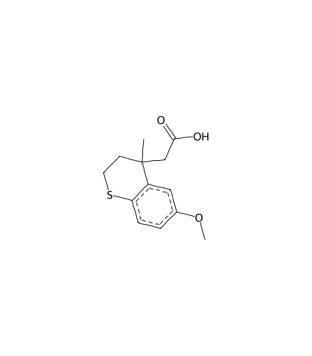 COc1ccc2c(c1)C(C)(CC(=O)O)CCS2